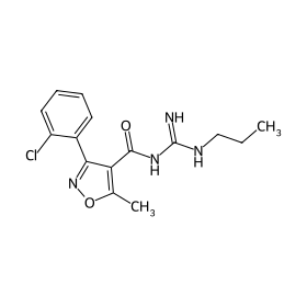 CCCNC(=N)NC(=O)c1c(-c2ccccc2Cl)noc1C